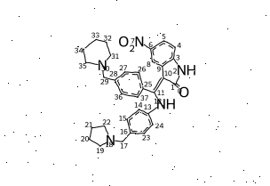 O=C1Nc2ccc([N+](=O)[O-])cc2C1=C(Nc1ccc(CN2CCCC2)cc1)c1ccc(CN2CCCCC2)cc1